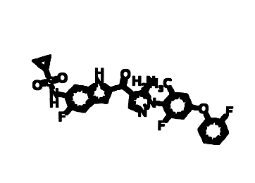 Cc1cc(Oc2ccccc2F)cc(F)c1-n1ncc(C(=O)c2cc3cc(F)c(NS(=O)(=O)C4CC4)cc3[nH]2)c1N